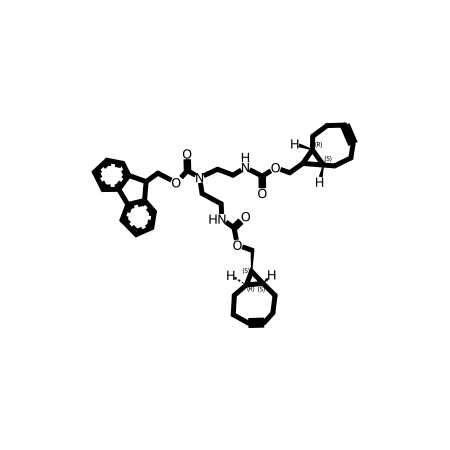 O=C(NCCN(CCNC(=O)OC[C@@H]1[C@@H]2CCC#CCC[C@@H]21)C(=O)OCC1c2ccccc2-c2ccccc21)OCC1[C@H]2CCC#CCC[C@@H]12